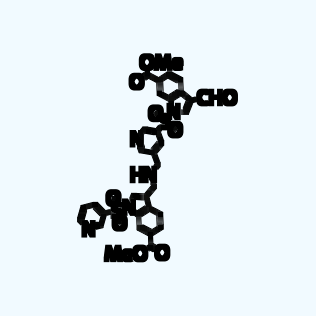 COC(=O)c1ccc2c(C=O)cn(S(=O)(=O)c3cncc(CNCc4cn(S(=O)(=O)c5cccnc5)c5cc(C(=O)OC)ccc45)c3)c2c1